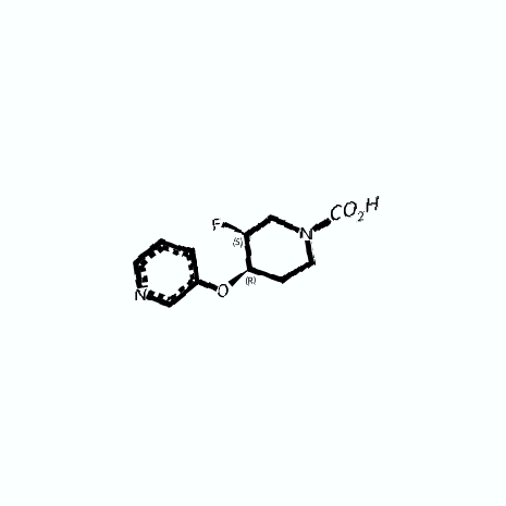 O=C(O)N1CC[C@@H](Oc2cccnc2)[C@@H](F)C1